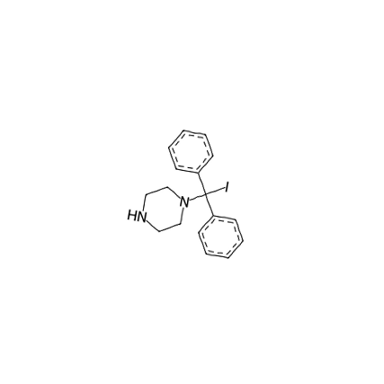 IC(c1ccccc1)(c1ccccc1)N1CCNCC1